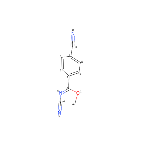 COC(=NC#N)c1ccc(C#N)cc1